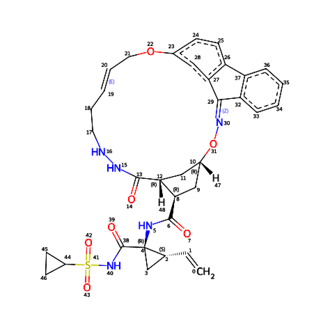 C=C[C@@H]1C[C@]1(NC(=O)[C@@H]1C[C@@H]2C[C@H]1C(=O)NNCC/C=C/COc1ccc3c(c1)/C(=N\O2)c1ccccc1-3)C(=O)NS(=O)(=O)C1CC1